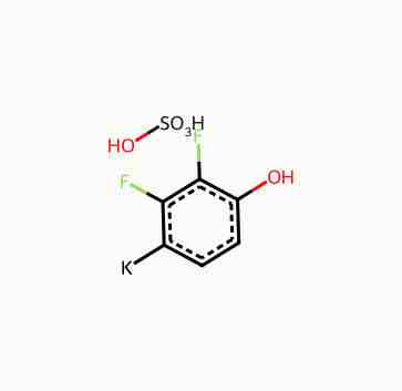 O=S(=O)(O)O.Oc1cc[c]([K])c(F)c1F